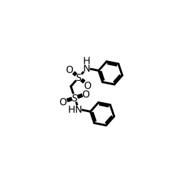 O=S(=O)(CS(=O)(=O)Nc1ccccc1)Nc1ccccc1